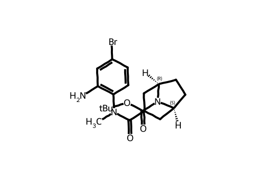 CN(C(=O)C1C[C@H]2CC[C@@H](C1)N2C(=O)OC(C)(C)C)c1ccc(Br)cc1N